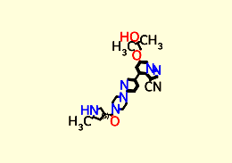 CC1C[C@H](C(=O)N2CCN(c3ccc(-c4cc(OCC(C)(C)O)cn5ncc(C#N)c45)cn3)CC2)CN1